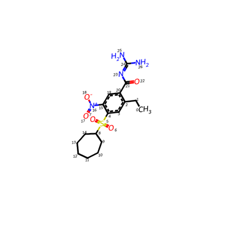 CCc1cc(S(=O)(=O)C2CCCCCC2)c([N+](=O)[O-])cc1C(=O)N=C(N)N